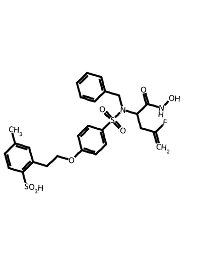 C=C(F)CC(C(=O)NO)N(Cc1ccccc1)S(=O)(=O)c1ccc(OCCc2cc(C)ccc2S(=O)(=O)O)cc1